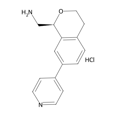 Cl.NC[C@H]1OCCc2ccc(-c3ccncc3)cc21